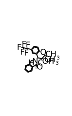 CC1(C)Oc2ccc(C(F)(F)C(F)(F)F)cc2C(N2Cc3ccccc3C2=O)C1(C)O